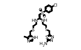 Cc1nc[nH]c1CSCCNC(=CS(=O)(=O)c1ccc(Cl)cc1)NCCSCc1nnc(N)s1